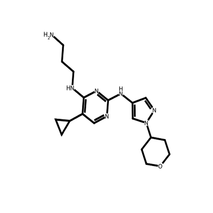 NCCCNc1nc(Nc2cnn(C3CCOCC3)c2)ncc1C1CC1